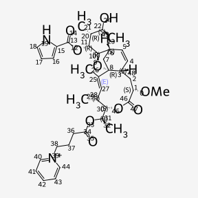 CO[C@H]1C[C@H]2C=C[C@@H]3C[C@]2(O[C@H]3[C@H](OC(=O)c2ccc[nH]2)[C@H](C)[C@H](C)O)/C(C)=C/[C@@H](C)[C@@H]([C@@H](C)OC(=O)CCC[n+]2ccccc2)OC1=O